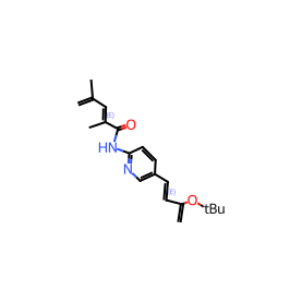 C=C(C)/C=C(\C)C(=O)Nc1ccc(/C=C/C(=C)OC(C)(C)C)cn1